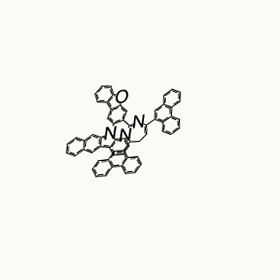 C1=C(c2cc3ccccc3c3ccccc23)N=C(c2cc3oc4ccccc4c3cc2-n2c3ccccc3c3cc4ccccc4cc32)N=C(c2cc3ccccc3c3ccccc23)C1